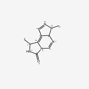 CN1NC(=O)N2C=NC3C(=C12)C=NN3C